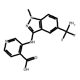 Cn1nc(Nc2cnccc2C(=O)O)c2cc(C(F)(F)P)ccc21